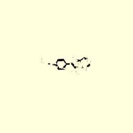 CCOc1ccc(-c2cn3ncncc3n2)c(OC)c1